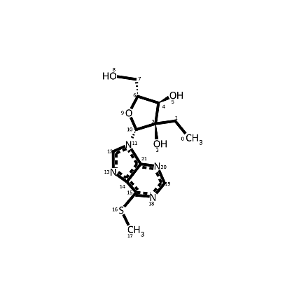 CC[C@@]1(O)[C@H](O)[C@@H](CO)O[C@H]1n1cnc2c(SC)ncnc21